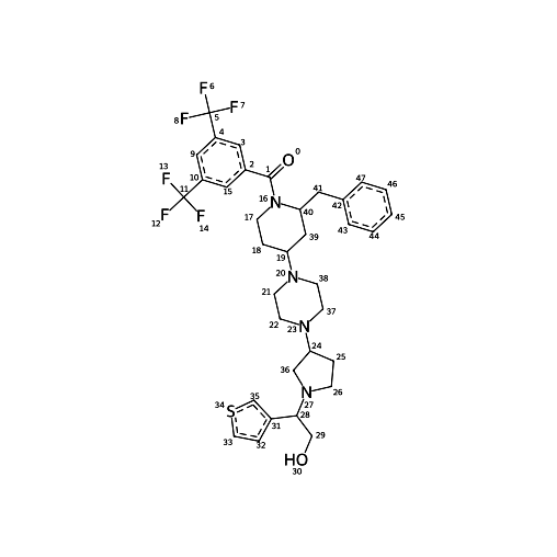 O=C(c1cc(C(F)(F)F)cc(C(F)(F)F)c1)N1CCC(N2CCN(C3CCN(C(CO)c4ccsc4)C3)CC2)CC1Cc1ccccc1